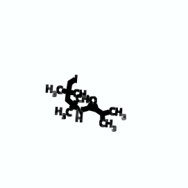 CC(C)C1OC1NC(C)(C)CC(C)(C)CI